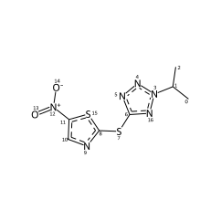 CC(C)n1nnc(Sc2ncc([N+](=O)[O-])s2)n1